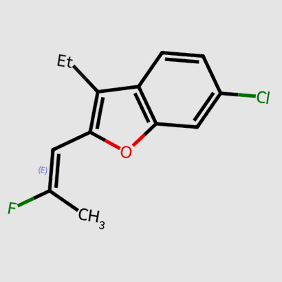 CCc1c(/C=C(\C)F)oc2cc(Cl)ccc12